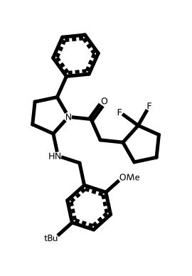 COc1ccc(C(C)(C)C)cc1CNC1CCC(c2ccccc2)N1C(=O)CC1CCCC1(F)F